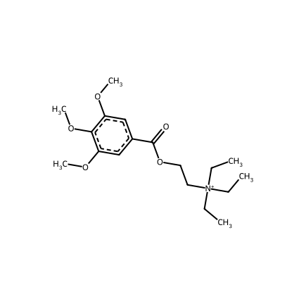 CC[N+](CC)(CC)CCOC(=O)c1cc(OC)c(OC)c(OC)c1